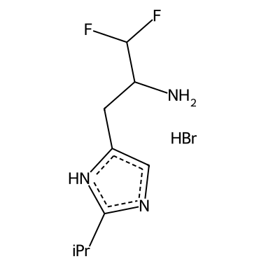 Br.CC(C)c1ncc(CC(N)C(F)F)[nH]1